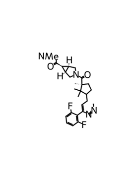 C/N=N\C(=C/CC1CC[C@](C)(C(=O)N2C[C@@H]3[C@H](C2)[C@@H]3C(=O)NC)C1(C)C)c1c(F)cccc1F